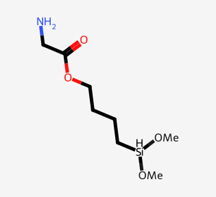 CO[SiH](CCCCOC(=O)CN)OC